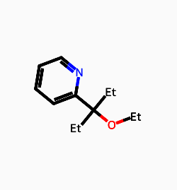 CCOC(CC)(CC)c1ccccn1